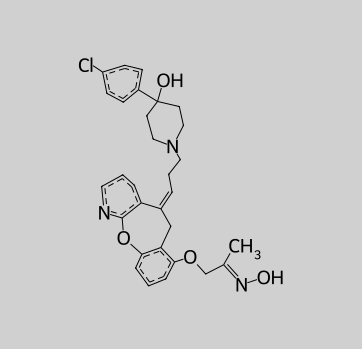 C/C(COc1cccc2c1C/C(=C/CCN1CCC(O)(c3ccc(Cl)cc3)CC1)c1cccnc1O2)=N\O